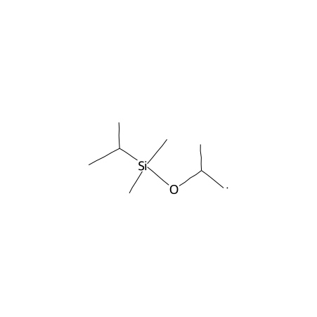 [CH2]C(C)O[Si](C)(C)C(C)C